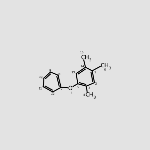 Cc1cc(C)c(Oc2cc[c]cc2)cc1C